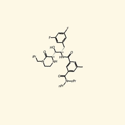 CCCN(CCC)C(=O)c1cc(C)cc(C(=O)N[C@@H](Cc2cc(F)cc(F)c2)C(O)[C@@H]2NCCN(CC(C)C)C2=O)c1